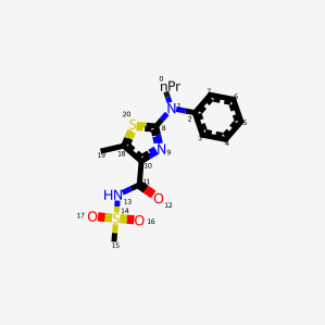 CCCN(c1ccccc1)c1nc(C(=O)NS(C)(=O)=O)c(C)s1